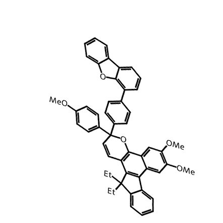 CCC1(CC)c2ccccc2-c2c1c1c(c3cc(OC)c(OC)cc23)OC(c2ccc(OC)cc2)(c2ccc(-c3cccc4c3oc3ccccc34)cc2)C=C1